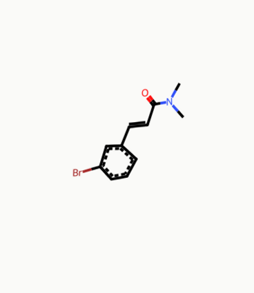 CN(C)C(=O)C=Cc1cccc(Br)c1